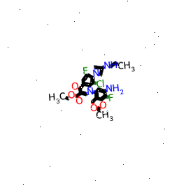 CCCNC1CN(c2c(F)cc3c(=O)c(C(=O)OCC)cn(-c4cc(N)c(F)cc4COC(C)=O)c3c2Cl)C1